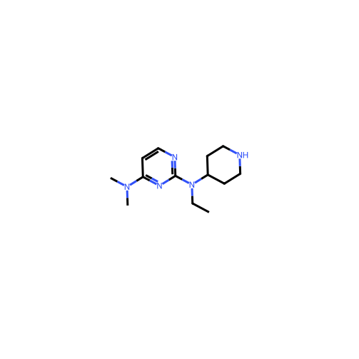 CCN(c1nccc(N(C)C)n1)C1CCNCC1